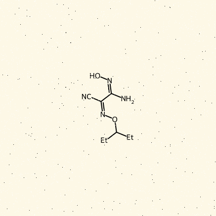 CCC(CC)O/N=C(C#N)\C(N)=N/O